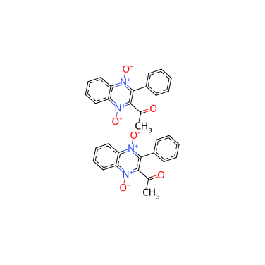 CC(=O)c1c(-c2ccccc2)[n+]([O-])c2ccccc2[n+]1[O-].CC(=O)c1c(-c2ccccc2)[n+]([O-])c2ccccc2[n+]1[O-]